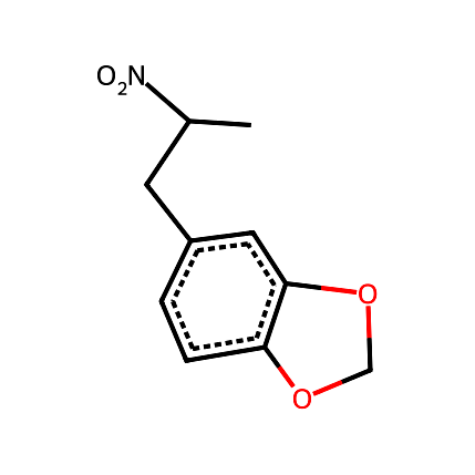 CC(Cc1ccc2c(c1)OCO2)[N+](=O)[O-]